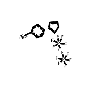 C1=CCC=C1.Clc1ccccc1.F[P-](F)(F)(F)(F)F.F[P-](F)(F)(F)(F)F.[Fe+2]